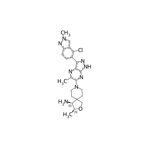 Cc1nc2c(-c3ccc4nn(C)cc4c3Cl)n[nH]c2nc1N1CCC2(CC1)CO[C@@H](C)[C@H]2N